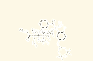 BC(B)(Nc1cccc(C=O)c1CN(C)C(B)(C=O)C(B)(B)C(B)(B)C(=O)NC)c1cc(CN2CC(C)(C)OC(C)(C)C2)ccc1F